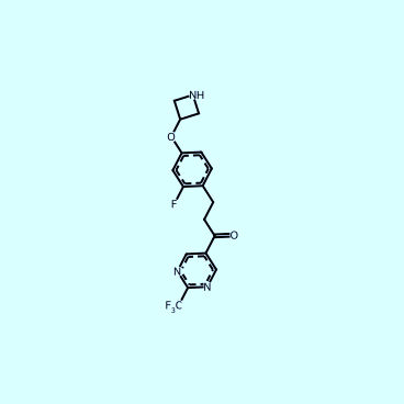 O=C(CCc1ccc(OC2CNC2)cc1F)c1cnc(C(F)(F)F)nc1